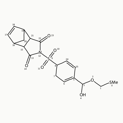 CSCOC(O)C1=CCC(S(=O)(=O)N2C(=O)C3C4C=CC(C4)C3C2=O)C=C1